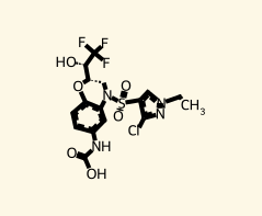 CCn1cc(S(=O)(=O)N2C[C@@H]([C@H](O)C(F)(F)F)Oc3ccc(NC(=O)O)cc32)c(Cl)n1